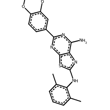 Cc1cccc(C)c1Nc1nc2c(N)nc(-c3ccc4c(c3)OCCO4)nc2s1